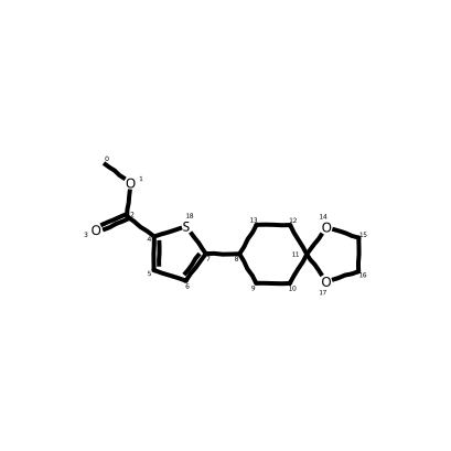 COC(=O)c1ccc(C2CCC3(CC2)OCCO3)s1